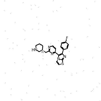 Fc1ccc(-c2nc3sccn3c2-c2ccnc(C[C@@H]3CCCNC3)n2)cc1